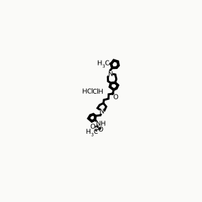 Cc1ccccc1CN1CCc2ccc(C(=O)CCCC3CCN(Cc4ccccc4NS(C)(=O)=O)CC3)cc2CC1.Cl.Cl